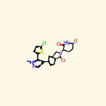 Cn1ncc(-c2ccc3c(c2)CN(C2CCC(=O)NC2=O)C3=O)c1-c1ccc(Cl)s1